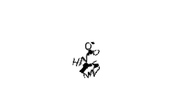 COC(=O)Nc1cnns1